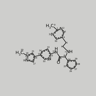 Cc1ncc(CCNC(C(=O)Nc2ccc(-c3cnn(C)c3)cn2)c2ccccc2)cn1